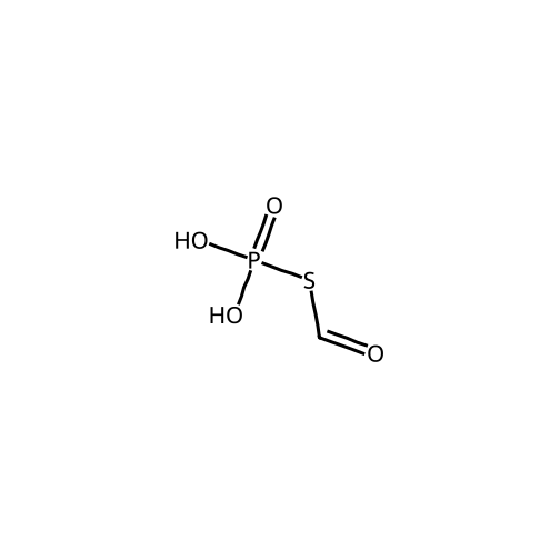 O=CSP(=O)(O)O